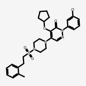 Cc1ccccc1CCS(=O)(=O)N1CCN(c2cnn(-c3cccc(Cl)c3)c(=O)c2OC2CCCC2)CC1